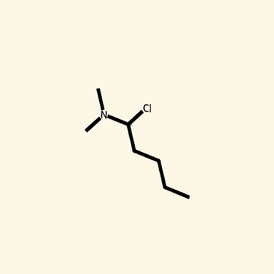 CCCC[C](Cl)N(C)C